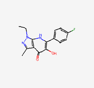 CCn1nc(C)c2c(=O)c(O)c(-c3ccc(F)cc3)[nH]c21